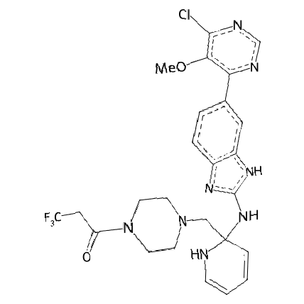 COc1c(Cl)ncnc1-c1ccc2nc(NC3(CN4CCN(C(=O)CC(F)(F)F)CC4)C=CC=CN3)[nH]c2c1